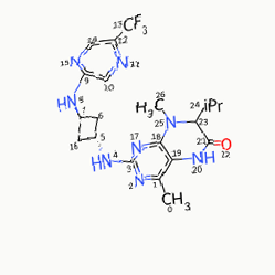 Cc1nc(N[C@H]2C[C@H](Nc3cnc(C(F)(F)F)cn3)C2)nc2c1NC(=O)C(C(C)C)N2C